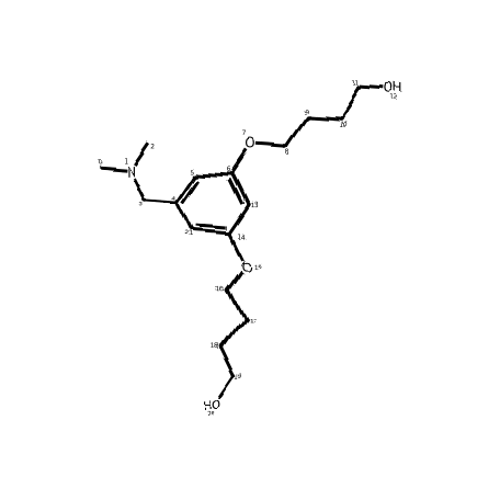 CN(C)Cc1cc(OCCCCO)cc(OCCCCO)c1